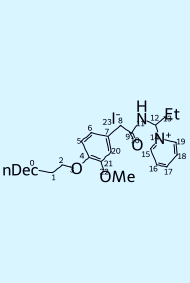 CCCCCCCCCCCCOc1ccc(CC(=O)NC(CC)[n+]2ccccc2)cc1OC.[I-]